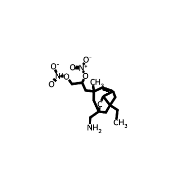 CCC12CC3=CC(C)(CC(CO[N+](=O)[O-])O[N+](=O)[O-])CC(CN)(CC31)C2